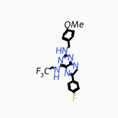 COc1ccc(CNc2nc(NCC(F)(F)F)c3nc(-c4ccc(F)cc4)cnc3n2)cc1